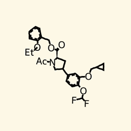 CCOc1ccccc1COC(=O)[C@H]1CC(c2ccc(OC(F)F)c(OCC3CC3)c2)CN1C(C)=O